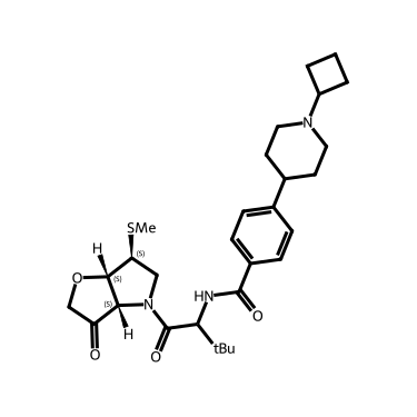 CS[C@H]1CN(C(=O)C(NC(=O)c2ccc(C3CCN(C4CCC4)CC3)cc2)C(C)(C)C)[C@@H]2C(=O)CO[C@H]12